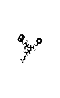 CCC(C)(CC(C)(CC(C)(C)C(=O)OCCN(C)C)C(=O)OCc1ccccc1)C(=O)OC1C2CC3CC(C2)CC1C3